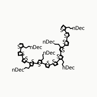 CCCCCCCCCCCCc1ccsc1-c1ccc(-c2ccc(-c3sc(-c4cc(CCCCCCCCCCCC)c(-c5ccc(-c6ccc(-c7sc(-c8cc(CCCCCCCCCCCC)c(-c9ccc(-c%10ccc(-c%11sccc%11CCCCCCCCCCCC)s%10)s9)s8)cc7CCCCCCCCCCCC)s6)s5)s4)cc3CCCCCCCCCCCC)s2)s1